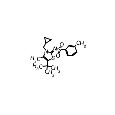 Cc1cccc(S(=O)(=O)/N=c2\sc(C(C)(C)C)c(C)n2CC2CC2)c1